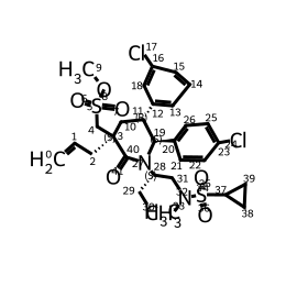 C=CC[C@]1(CS(=O)(=O)OC)C[C@H](c2cccc(Cl)c2)[C@@H](c2ccc(Cl)cc2)N([C@@H](CC)CN(C)S(=O)(=O)C2CC2)C1=O